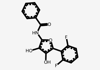 O=C(Nc1oc(-c2c(F)cccc2F)c(O)c1O)c1ccccc1